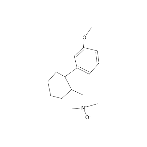 COc1cccc(C2CCCCC2C[N+](C)(C)[O-])c1